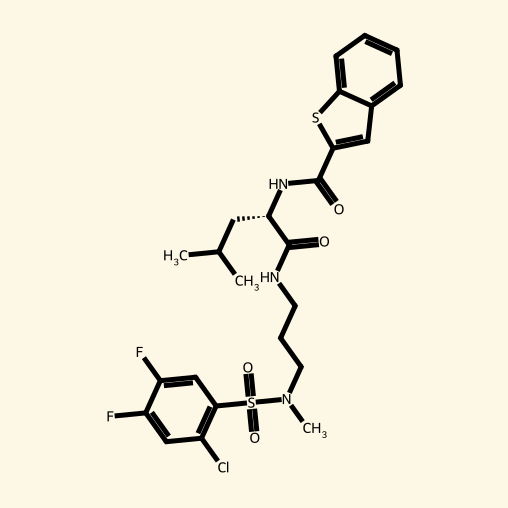 CC(C)C[C@H](NC(=O)c1cc2ccccc2s1)C(=O)NCCCN(C)S(=O)(=O)c1cc(F)c(F)cc1Cl